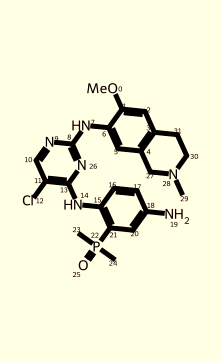 COc1cc2c(cc1Nc1ncc(Cl)c(Nc3ccc(N)cc3P(C)(C)=O)n1)CN(C)CC2